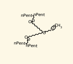 CCCCCC(CCCCC)CCOC(=O)CCCCCCCCC(CCCCCCCCC(=O)OCCC(CCCCC)CCCCC)OCCCCN1CCN(C)CC1